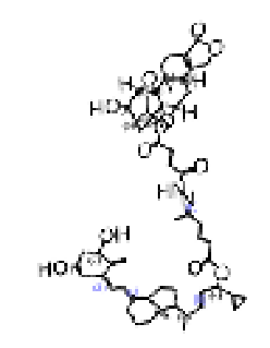 C=C1/C(=C\C=C2/CCC[C@]3(C)C2CCC3[C@H](C)/C=C/[C@H](OC(=O)CCC/C(C)=N/NC(=O)CCC(=O)O[C@@]23C[C@]2(C(C)C)[C@H](O)[C@H]2O[C@@]24C32O[C@@H]2C[C@@H]2C3=C(CC[C@]24C)C(=O)OC3)C2CC2)C[C@H](O)C[C@H]1O